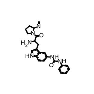 C=NC1CCCN1C(=O)C(N)Cc1c[nH]c2ccc(NC(=O)Nc3ccccc3)cc12